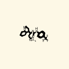 Nc1cc(-c2ccnc3ccccc23)nc(Nc2ccc(C(F)(F)F)cc2)n1